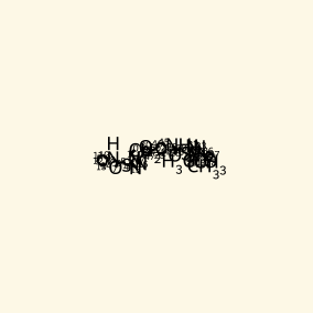 C=Cn1c(SCC(=O)Nc2ccccc2)nnc1-c1coc(-c2ccc(NC(=O)CSc3nnc(-c4ccoc4)n3C(C)(C)C)cc2)c1